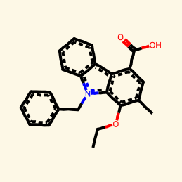 CCOc1c(C)cc(C(=O)O)c2c3ccccc3n(Cc3ccccc3)c12